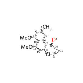 COc1cc(C)cc2c(C(=O)C3CC3)c(C)cc(OC)c12